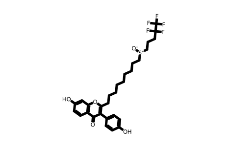 O=c1c(-c2ccc(O)cc2)c(CCCCCCCCC[S+]([O-])CCCC(F)(F)C(F)(F)F)oc2cc(O)ccc12